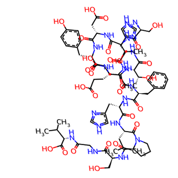 CC(C)C[C@H](NC(=O)[C@H](Cc1c[nH]cn1)NC(=O)[C@H](Cc1ccccc1)NC(=O)[C@H](CCC(=O)O)NC(=O)[C@H](Cc1c[nH]cn1)NC(=O)[C@@H](NC(=O)[C@H](CCC(=O)O)NC(=O)[C@H](Cc1ccc(O)cc1)NC(=O)[C@H](CC(=O)O)NC(=O)[C@@H](NC(=O)[C@@H](N)CO)[C@@H](C)O)[C@@H](C)O)C(=O)N1CCC[C@H]1C(=O)N[C@@H](CO)C(=O)NCC(=O)N[C@H](C(=O)O)C(C)C